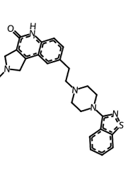 CN1Cc2c(c3cc(CCN4CCN(c5nsc6ccccc56)CC4)ccc3[nH]c2=O)C1